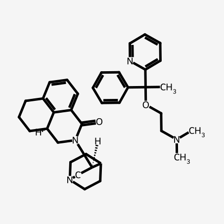 CN(C)CCOC(C)(c1ccccc1)c1ccccn1.O=C1c2cccc3c2[C@H](CCC3)CN1[C@@H]1CN2CCC1CC2